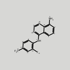 Nc1cccc2c(Nc3ccc(C(F)(F)F)cc3F)ncnc12